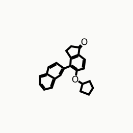 O=C1CCc2c1ccc(OC1CCCC1)c2-c1ccc2ccccc2c1